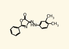 Cc1ccc(NN=C2N=C(c3ccccc3)OC2=O)cc1C